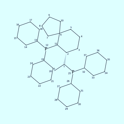 CC([C@H]1CCCC2(CCCC2)C1P(C1CCCCC1)C1CCCCC1)P(C1CCCCC1)C1CCCCC1